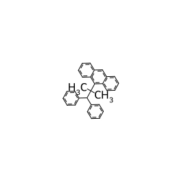 CC(C)(c1c2ccccc2cc2ccccc12)C(c1ccccc1)c1ccccc1